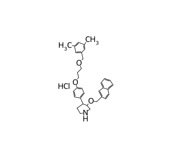 Cc1cc(C)cc(COCCCOc2ccc(C3CCNCC3OCc3ccc4ccccc4c3)cc2)c1.Cl